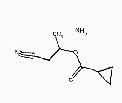 CC(CC#N)OC(=O)C1CC1.N